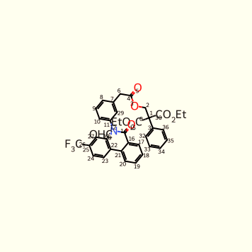 CCOC(=O)C(COC(=O)Cc1cccc(N(C=O)C(=O)c2ccccc2-c2ccc(C(F)(F)F)cc2)c1)(C(=O)OCC)c1ccccc1